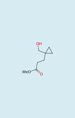 COC(=O)CCC1(CO)CC1